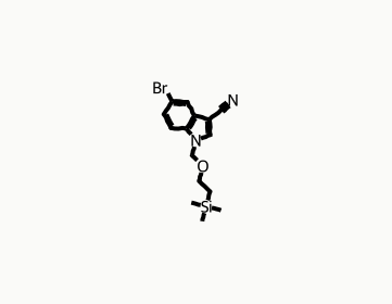 C[Si](C)(C)CCOCn1cc(C#N)c2cc(Br)ccc21